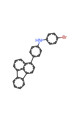 Brc1ccc(Nc2ccc(-c3ccc4c5c(cccc35)-c3ccccc3-4)cc2)cc1